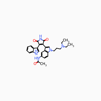 CCN(CC)CCCn1cc(C2=C(c3c[nH]c4ccccc34)C(=O)NC2=O)c2cc(NC(C)=O)ccc21